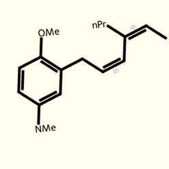 C/C=C(\C=C/Cc1cc(NC)ccc1OC)CCC